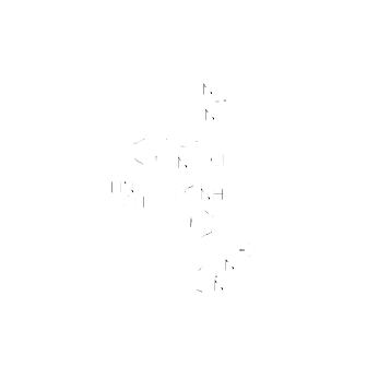 CCC1(C(=O)N(CC(=O)Nc2ccc3c(c2)CC(=O)Nc2ncccc2C3)Cc2ccccc2CNC)CCN(C(=O)N2CCC2)CC1